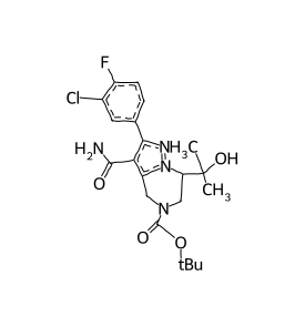 CC(C)(C)OC(=O)N1Cc2c(C(N)=O)c(-c3ccc(F)c(Cl)c3)nn2C(C(C)(C)O)C1